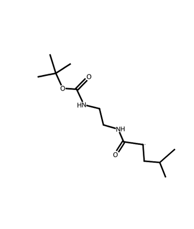 CC(C)C[CH]C(=O)NCCNC(=O)OC(C)(C)C